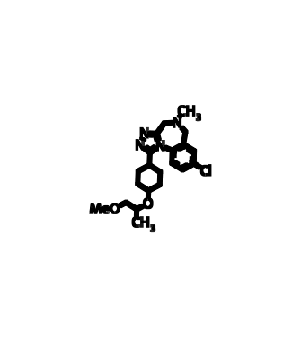 COCC(C)OC1CCC(c2nnc3n2-c2ccc(Cl)cc2CN(C)C3)CC1